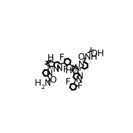 C[C@@H](O)CNC(=O)c1cccc([C@@]23CC(c4ccc(F)c(-c5cc6c(nn5)[C@]5(c7cccc(C(N)=O)n7)CC[C@H]6C5(C)C)c4F)[C@@H](c4cc(-c5c(F)cccc5F)nnc42)C3(C)C)n1